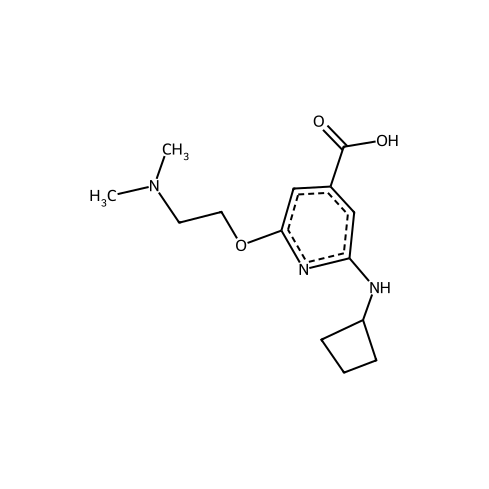 CN(C)CCOc1cc(C(=O)O)cc(NC2CCC2)n1